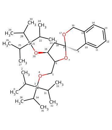 CC(C)[Si](OCC1O[C@@]2(Cc3ccccc3CO2)C[C@@H]1O[Si](C(C)C)(C(C)C)C(C)C)(C(C)C)C(C)C